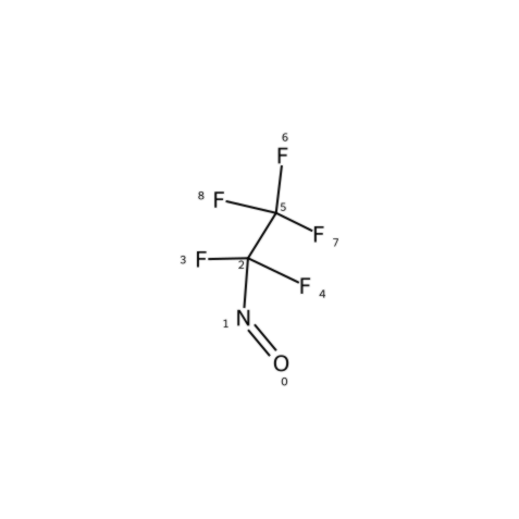 O=NC(F)(F)C(F)(F)F